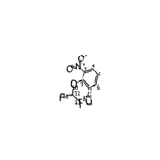 O=[N+]([O-])c1cccc(Cl)c1OC(F)F